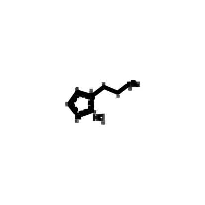 CCCCCCn1ccnc1.Cl